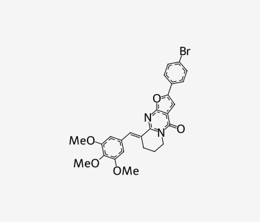 COc1cc(/C=C2\CCCn3c2nc2oc(-c4ccc(Br)cc4)cc2c3=O)cc(OC)c1OC